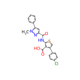 Cn1nc(C(=O)Nc2scc(-c3ccc(Cl)cc3)c2C(=O)O)cc1-c1ccccc1